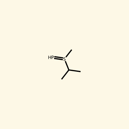 CC(C)S(C)=P